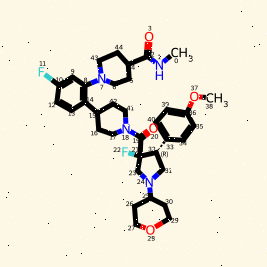 CNC(=O)C1CCN(c2cc(F)ccc2C2CCN(C(=O)C3(F)CN(C4CCOCC4)C[C@H]3c3ccc(OC)cc3)CC2)CC1